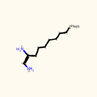 CCCCCCCCCCCCCC/C(N)=C\N